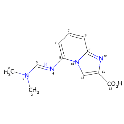 CN(C)/C=N/c1cccc2nc(C(=O)O)cn12